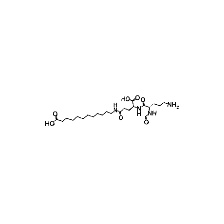 NCCC[C@H](NC=O)C(=O)N[C@@H](CCC(=O)NCCCCCCCCCCCC(=O)O)C(=O)O